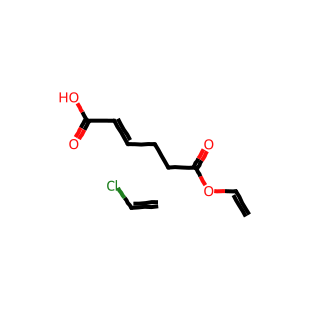 C=CCl.C=COC(=O)CC/C=C/C(=O)O